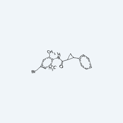 Cc1cc(Br)cc(C)c1NC(=O)C1CC1c1ccccc1